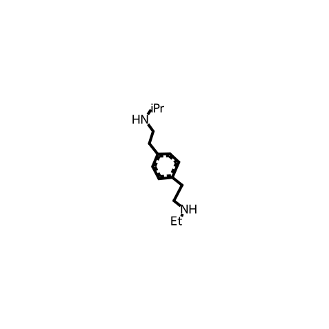 CCNCCc1ccc(CCNC(C)C)cc1